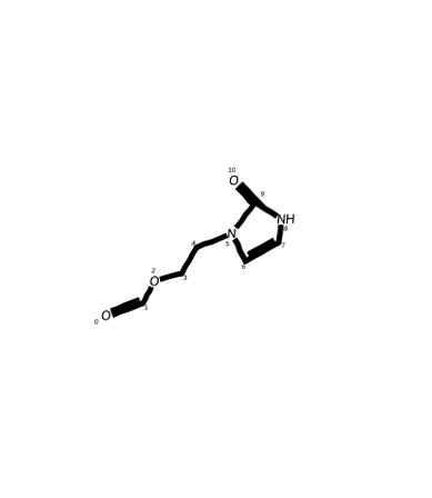 O=COCCn1cc[nH]c1=O